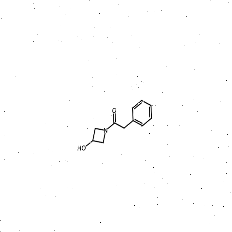 O=C(Cc1cc[c]cc1)N1CC(O)C1